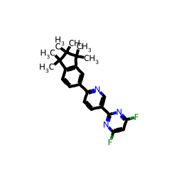 CC1(C)c2ccc(-c3ccc(-c4nc(F)cc(F)n4)cn3)cc2C(C)(C)C1(C)C